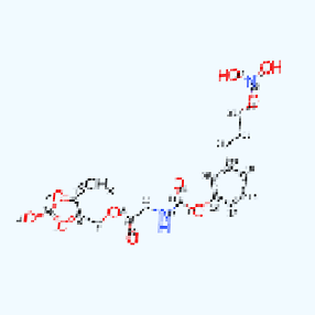 Cc1oc(=O)oc1COC(=O)CNC(=O)Oc1cccc(CCCON(O)O)c1